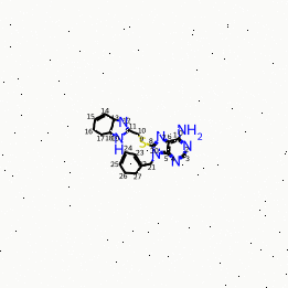 Nc1ncnc2c1nc(SCC1=NC3C=CCCC3N1)n2CC1=CC=CCC1